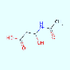 CC(=O)NC(O)CC(=O)O